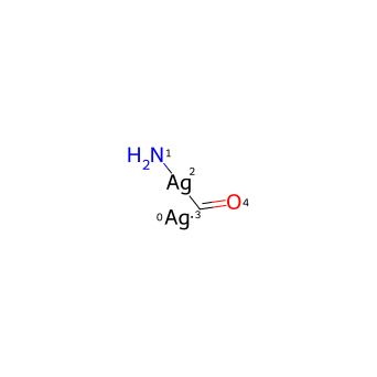 [Ag].[NH2][Ag][CH]=O